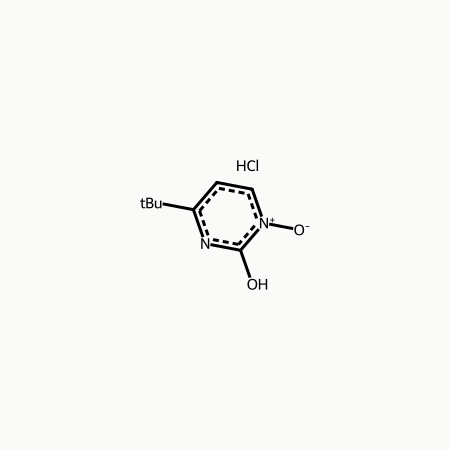 CC(C)(C)c1cc[n+]([O-])c(O)n1.Cl